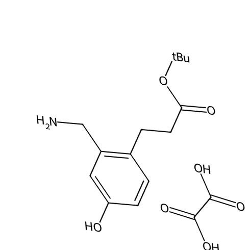 CC(C)(C)OC(=O)CCc1ccc(O)cc1CN.O=C(O)C(=O)O